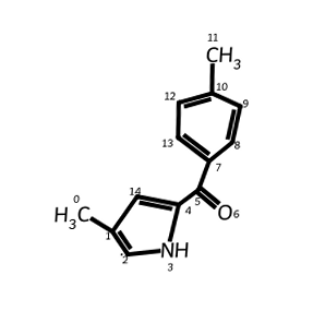 Cc1[c][nH]c(C(=O)c2ccc(C)cc2)c1